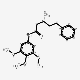 COc1cc(NC(=O)C[C@H](C)CCc2ccccc2)cc(OC)c1OC